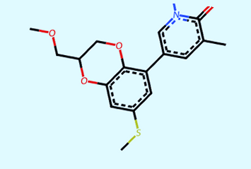 COCC1COc2c(cc(SC)cc2-c2cc(C)c(=O)n(C)c2)O1